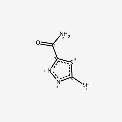 NC(=O)c1nnc(S)s1